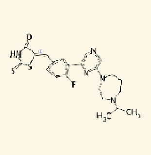 CC(C)N1CCCN(c2cncc(-c3cc(/C=C4\SC(=S)NC4=O)ccc3F)n2)CC1